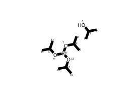 CC(C)O.CC(C)OB(OC(C)C)OC(C)C